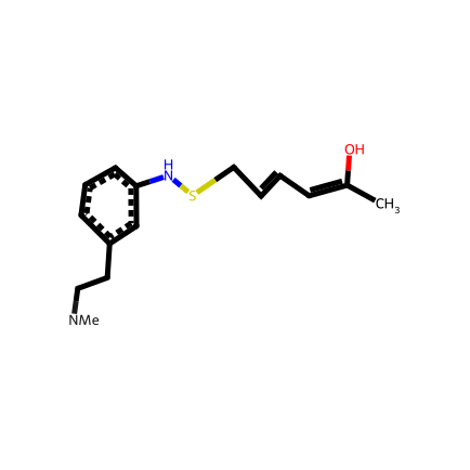 CNCCc1cccc(NSC/C=C/C=C(/C)O)c1